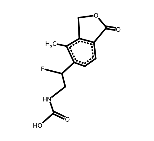 Cc1c(C(F)CNC(=O)O)ccc2c1COC2=O